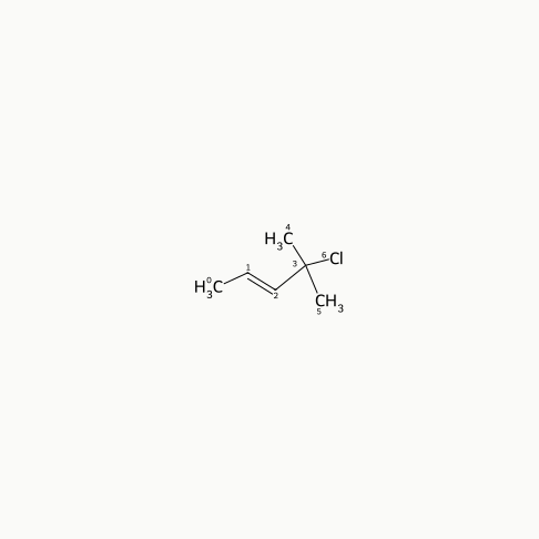 CC=CC(C)(C)Cl